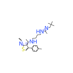 C=C/N=C1/SC=C(c2ccc(C)cc2)/C1=C(/C)NCCCCN/C(C)=N/CC(C)(C)C